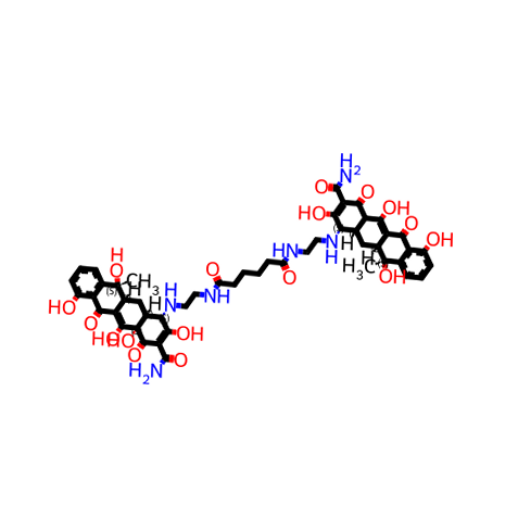 C[C@@]1(O)c2cccc(O)c2C(=O)C2=C(O)C3C(=O)C(C(N)=O)=C(O)[C@@H](NCCNC(=O)CCCCC(=O)NCCN[C@@H]4C(O)=C(C(N)=O)C(=O)[C@@]5(O)C(O)=C6C(=O)c7c(O)cccc7[C@@](C)(O)[C@H]6C[C@@H]45)[C@@H]3C[C@@H]21